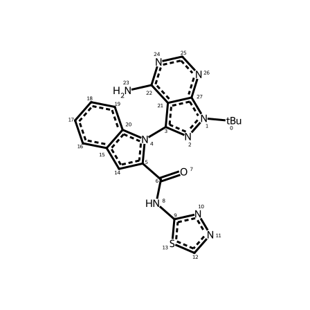 CC(C)(C)n1nc(-n2c(C(=O)Nc3nncs3)cc3ccccc32)c2c(N)ncnc21